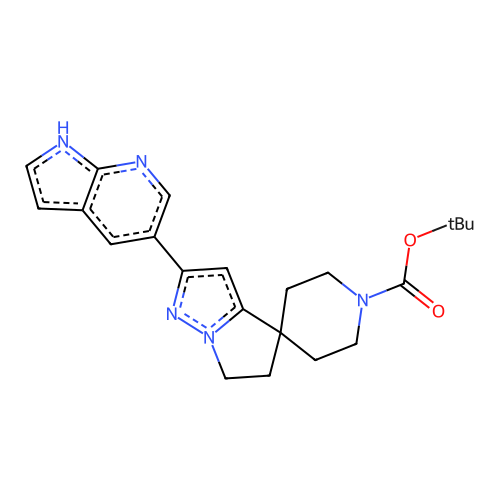 CC(C)(C)OC(=O)N1CCC2(CC1)CCn1nc(-c3cnc4[nH]ccc4c3)cc12